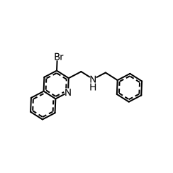 Brc1cc2ccccc2nc1CNCc1ccccc1